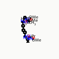 COC(=O)NC(C(=O)N1CC2(CC2)C[C@H]1c1ncc(-c2ccc3cc(-c4ccc(-c5cnc([C@@H]6[C@H]7CC[C@H](C7)N6C(=O)[C@@H](NC(=O)OC)C(C)(C)OC)[nH]5)cc4)ccc3c2)[nH]1)C(C)C